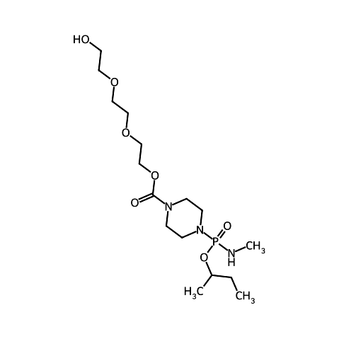 CCC(C)OP(=O)(NC)N1CCN(C(=O)OCCOCCOCCO)CC1